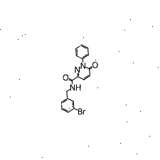 O=C(NCc1cccc(Br)c1)c1ccc(=O)n(-c2ccccc2)n1